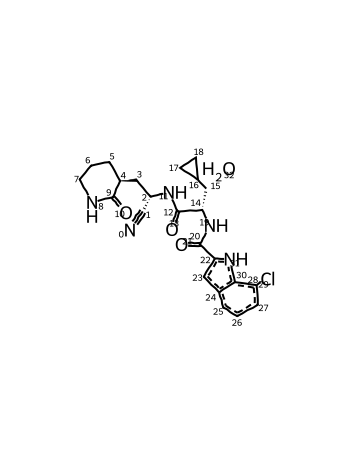 N#C[C@H](C[C@@H]1CCCNC1=O)NC(=O)[C@H](CC1CC1)NC(=O)c1cc2cccc(Cl)c2[nH]1.O